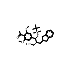 COc1cc([C@@H](O[Si](C)(C)C(C)(C)C)[C@H](CO)CC2Cc3ccccc3C2)cc(OC)c1C(C)=O